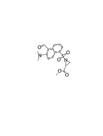 COC(=O)C1CN1S(=O)(=O)c1cccc2c(C=O)c(N(C)C)ccc12